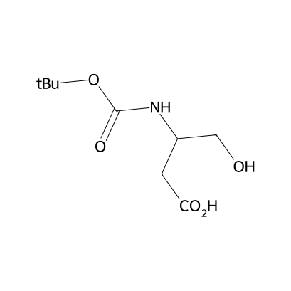 CC(C)(C)OC(=O)NC(CO)CC(=O)O